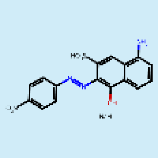 Nc1cccc2c(O)c(N=Nc3ccc([N+](=O)[O-])cc3)c(S(=O)(=O)O)cc12.[NaH]